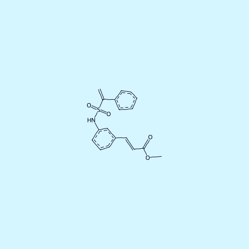 C=C(c1ccccc1)S(=O)(=O)Nc1cccc(C=CC(=O)OC)c1